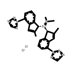 CC1=Cc2c(cccc2-n2ncnn2)[C@@H]1[Zr+2]([C@H]1C(C)=Cc2c1cccc2-n1ncnn1)=[Si](C)C.[Cl-].[Cl-]